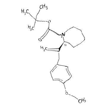 C=C(c1ccc(OC)cc1)[C@@H]1CCCCN1C(=O)OC(C)(C)C